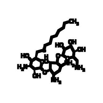 CCCCCCCCSC[C@H]1OC(O[C@@H]2C(N)CC(N)C(O[C@H]3OC(CN)[C@@H](O)[C@H](O)C3O)[C@@H]2O)[C@H](O)[C@H](N)C1O